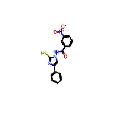 O=C(Nn1cc(-c2ccccc2)nc1S)c1cccc([N+](=O)[O-])c1